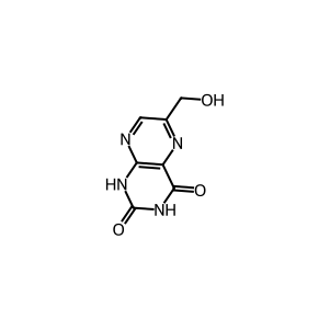 O=c1[nH]c(=O)c2nc(CO)cnc2[nH]1